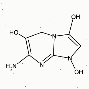 NC1=C(O)CN2C(O)=CN(O)C2=N1